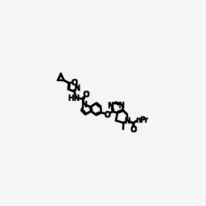 CCCC(=O)N1Cc2ncnc(Oc3ccc4c(ccn4C(=O)Nc4cc(C5CC5)on4)c3)c2CC1C